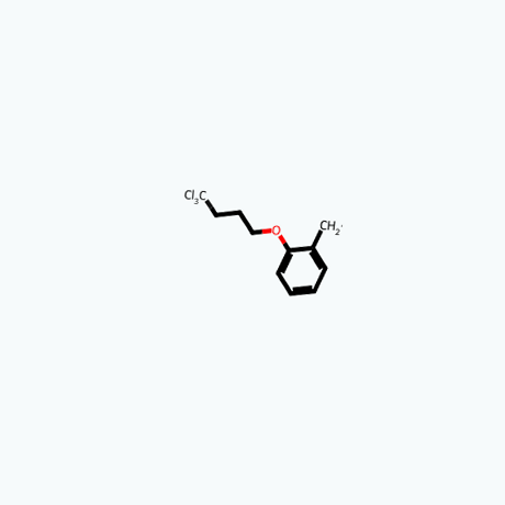 [CH2]c1ccccc1OCCCC(Cl)(Cl)Cl